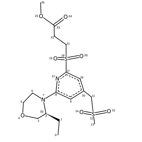 CC[C@H]1COCCN1c1cc(CS(C)(=O)=O)cc(S(=O)(=O)CCC(=O)OC)n1